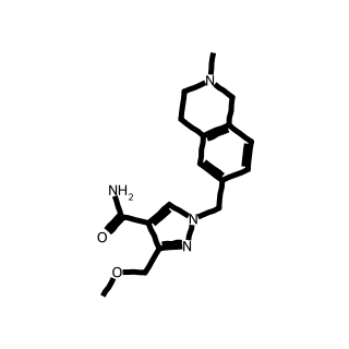 COCc1nn(Cc2ccc3c(c2)CCN(C)C3)cc1C(N)=O